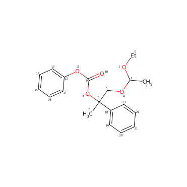 CCOC(C)OCC(C)(OC(=O)Oc1ccccc1)c1ccccc1